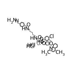 Cc1cc(C)c2cccc(OCc3c(Cl)ccc(S(=O)(=O)N4CCC[C@H]4C(=O)NCCCCCNC(=O)c4ccc(C=NN)cc4)c3Cl)c2n1.Cl.Cl